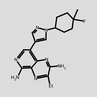 CCc1nc2c(N)ncc(-c3cnn(C4CCC(C)(F)CC4)c3)c2nc1N